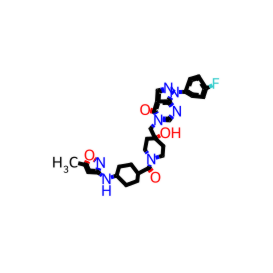 Cc1cc(NC2CCC(C(=O)N3CCC(O)(Cn4cnc5c(cnn5-c5ccc(F)cc5)c4=O)CC3)CC2)no1